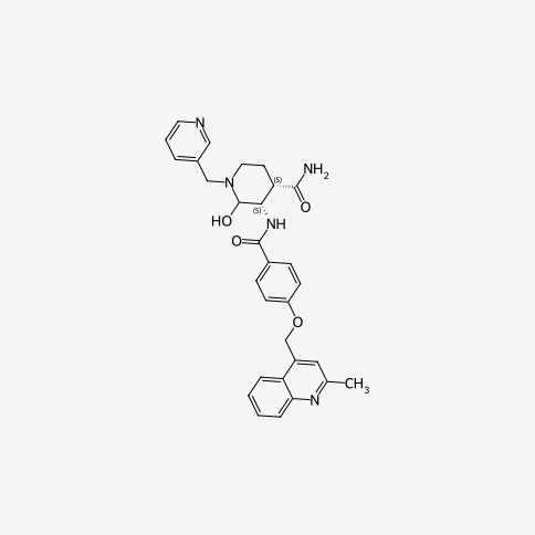 Cc1cc(COc2ccc(C(=O)N[C@@H]3C(O)N(Cc4cccnc4)CC[C@@H]3C(N)=O)cc2)c2ccccc2n1